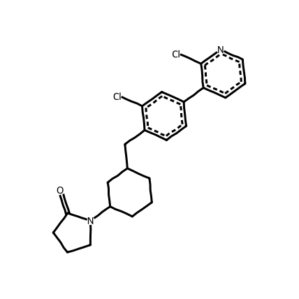 O=C1CCCN1C1CCCC(Cc2ccc(-c3cccnc3Cl)cc2Cl)C1